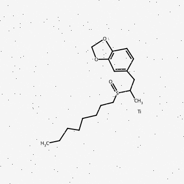 CCCCCCCCS(=O)C(C)Cc1ccc2c(c1)OCO2.[Ti]